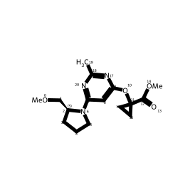 COC[C@@H]1CCCN1c1cc(OC2(C(=O)OC)CC2)nc(C)n1